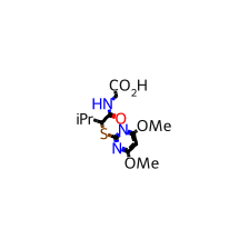 COc1cc(OC)nc(SC(C(=O)NCC(=O)O)C(C)C)n1